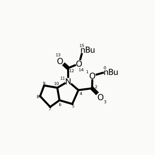 CCCCOC(=O)C1CC2CCCC2N1C(=O)OCCCC